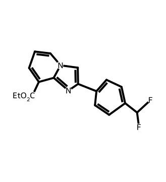 CCOC(=O)c1cccn2cc(-c3ccc(C(F)F)cc3)nc12